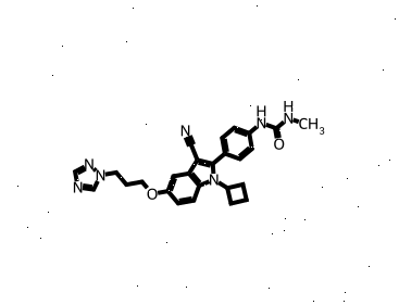 CNC(=O)Nc1ccc(-c2c(C#N)c3cc(OCCCn4cncn4)ccc3n2C2CCC2)cc1